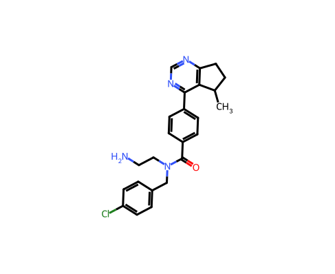 CC1CCc2ncnc(-c3ccc(C(=O)N(CCN)Cc4ccc(Cl)cc4)cc3)c21